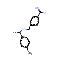 C=C(NCc1ccc(C(=N)N)cc1)c1ccc(C)cc1